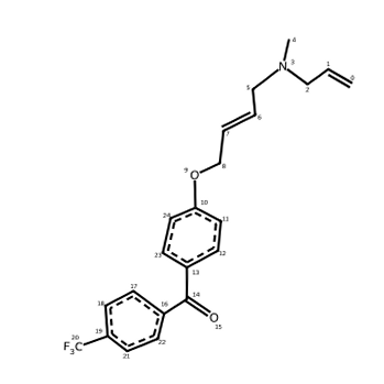 C=CCN(C)CC=CCOc1ccc(C(=O)c2ccc(C(F)(F)F)cc2)cc1